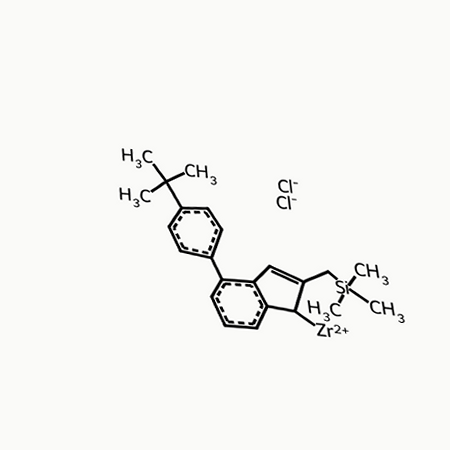 CC(C)(C)c1ccc(-c2cccc3c2C=C(C[Si](C)(C)C)[CH]3[Zr+2])cc1.[Cl-].[Cl-]